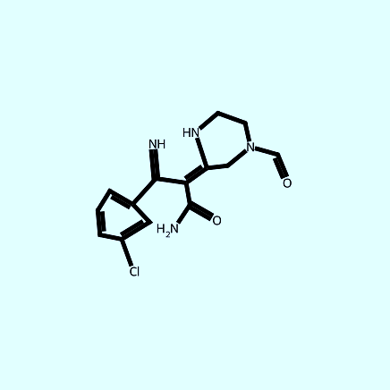 N=C(/C(C(N)=O)=C1/CN(C=O)CCN1)c1cccc(Cl)c1